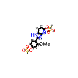 COc1cc(OS(C)(=O)=O)ccc1-c1nc2nc(OS(C)(=O)=O)ccc2[nH]1